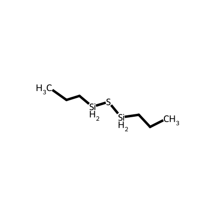 CCC[SiH2]S[SiH2]CCC